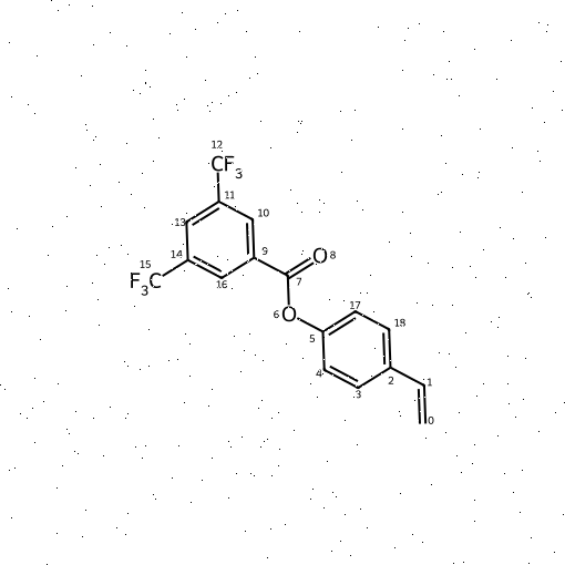 C=Cc1ccc(OC(=O)c2cc(C(F)(F)F)cc(C(F)(F)F)c2)cc1